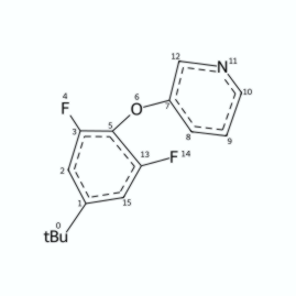 CC(C)(C)c1cc(F)c(Oc2cccnc2)c(F)c1